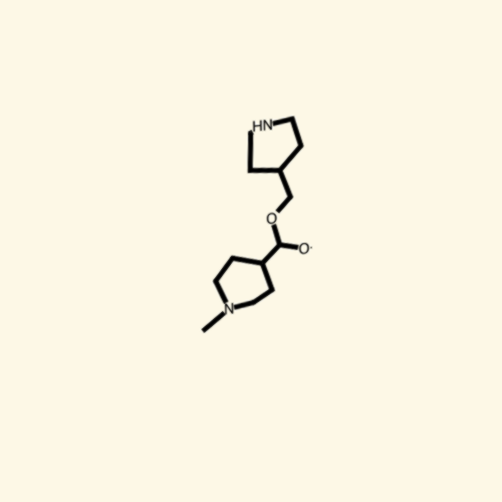 CN1CCC(C([O])OCC2CCNCC2)CC1